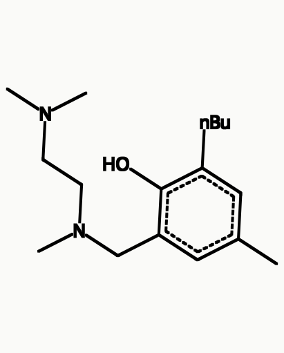 CCCCc1cc(C)cc(CN(C)CCN(C)C)c1O